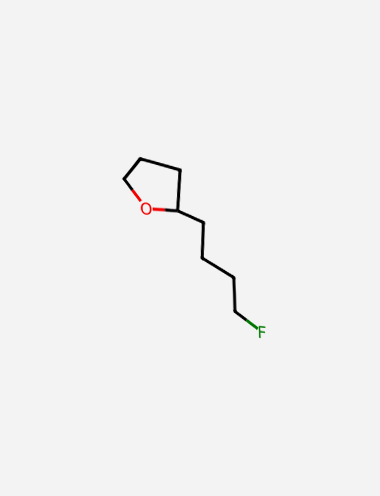 FCCCCC1CCCO1